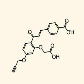 C#CCOc1ccc(C(=O)C=Cc2ccc(C(=O)O)cc2)c(OCC(=O)O)c1